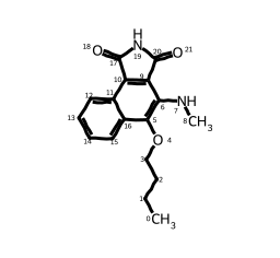 CCCCOc1c(NC)c2c(c3ccccc13)C(=O)NC2=O